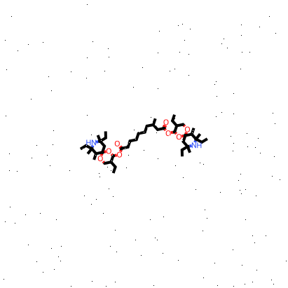 CCC1COC2(CC(C)(CC)NC(C)(CC)C2C)OC1OC(=O)CCCCCCC(C)CC(=O)OC1OC2(CC(C)(CC)NC(C)(CC)C2C)OCC1CC